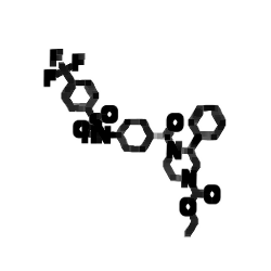 CCOC(=O)N1CCN(C(=O)[C@H]2CC[C@H](NS(=O)(=O)c3ccc(C(F)(F)F)cc3)CC2)[C@@H](c2ccccc2)C1